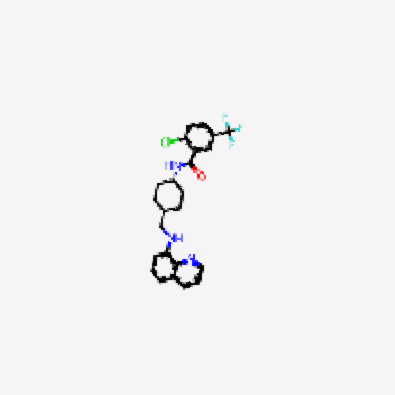 O=C(N[C@H]1CC[C@H](CNc2cccc3cccnc23)CC1)c1cc(C(F)(F)F)ccc1Cl